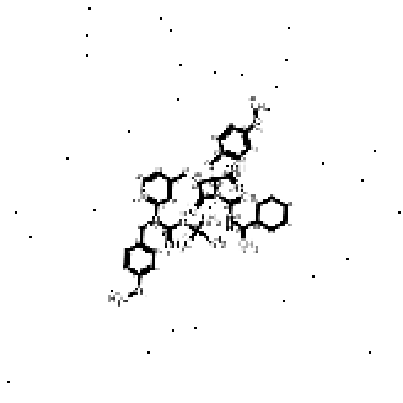 COc1ccc(CN(C(=O)OC(C)(C)C)c2cc(C[C@H]3C(=O)N(C(=O)NC(C)C4CCCCC4)[C@]3(Cc3ccc(OC)cc3)C(=O)O)ccn2)cc1